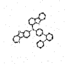 c1ccc(-c2ccccc2-c2ccc(N(c3ccc4c(c3)oc3cccnc34)c3cccc4c3sc3ccccc34)cc2)cc1